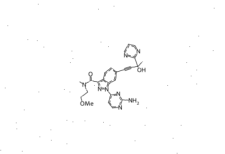 COCCN(C)C(=O)c1nn(-c2ccnc(N)n2)c2cc(C#CC(C)(O)c3ncccn3)ccc12